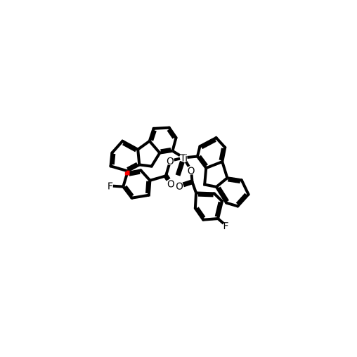 [CH2]=[Ti]([O]C(=O)c1ccc(F)cc1)([O]C(=O)c1ccc(F)cc1)([c]1cccc2c1Cc1ccccc1-2)[c]1cccc2c1Cc1ccccc1-2